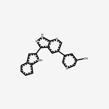 Oc1cncc(-c2cnc3[nH]nc(-c4cc5ccccc5[nH]4)c3c2)c1